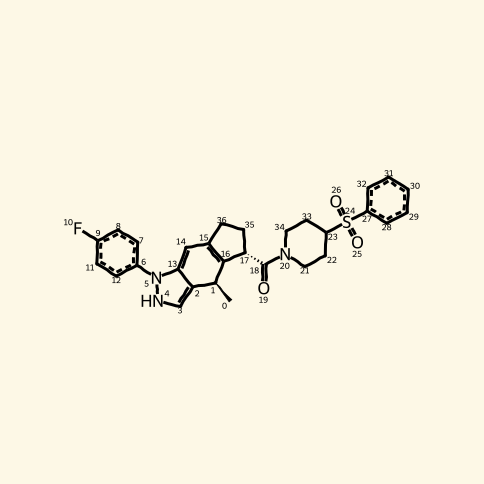 C[C@H]1C2=CNN(c3ccc(F)cc3)C2=CC2=C1[C@@H](C(=O)N1CCC(S(=O)(=O)c3ccccc3)CC1)CC2